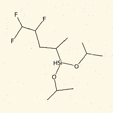 CC(C)O[SiH](OC(C)C)C(C)CC(F)C(F)F